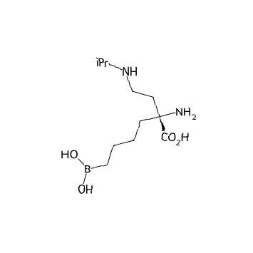 CC(C)NCC[C@](N)(CCCCB(O)O)C(=O)O